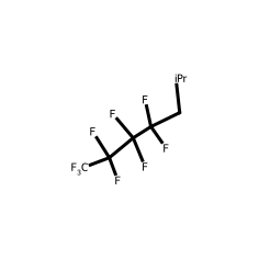 CC(C)CC(F)(F)C(F)(F)C(F)(F)C(F)(F)F